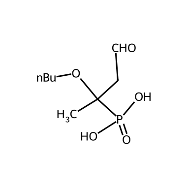 CCCCOC(C)(CC=O)P(=O)(O)O